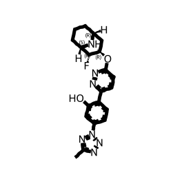 Cc1nnn(-c2ccc(-c3ccc(O[C@@H]4C[C@H]5CCC[C@H](N5)[C@H]4F)nn3)c(O)c2)n1